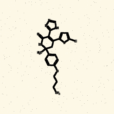 CCCCOc1ccc(C2(C)CC(c3ccc(Cl)s3)=C(c3nnc[nH]3)C(=O)N2)cc1